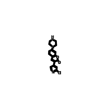 O=c1oc2cc(N3CCNCC3)ccc2cc1-c1ccnc(Cl)c1